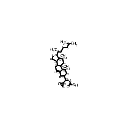 CC(C)CCC[C@@H](C)[C@H]1CCC2C3CC=C4CC(C(OC(=O)O)C5CO5)CC[C@]4(C)C3CC[C@@]21C